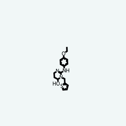 CCOc1ccc(NC2=NCCC(O)N2Cc2cccs2)cc1